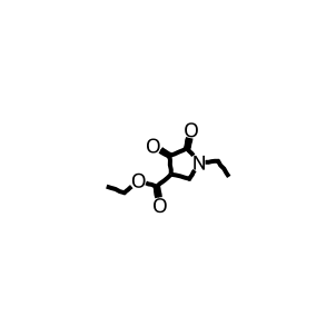 CCOC(=O)C1CN(CC)C(=O)C1=O